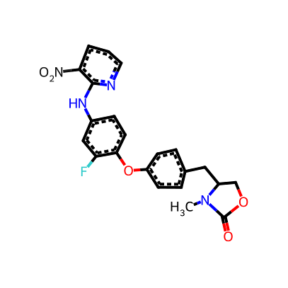 CN1C(=O)OCC1Cc1ccc(Oc2ccc(Nc3ncccc3[N+](=O)[O-])cc2F)cc1